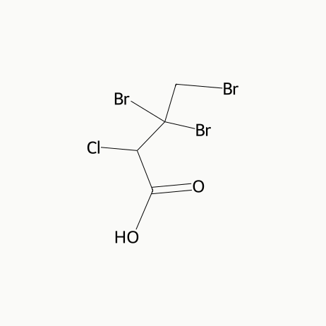 O=C(O)C(Cl)C(Br)(Br)CBr